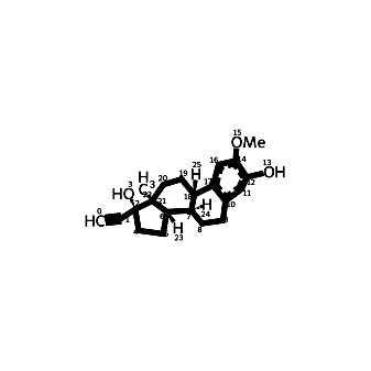 C#C[C@]1(O)CC[C@H]2[C@@H]3CCc4cc(O)c(OC)cc4[C@H]3CC[C@@]21C